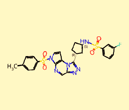 Cc1ccc(S(=O)(=O)n2ccc3c2ncc2nnc([C@@H]4CC[C@H](NS(=O)(=O)c5cccc(F)c5)C4)n23)cc1